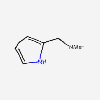 C[N]Cc1ccc[nH]1